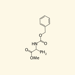 COC(=O)C(P)NC(=O)OCc1ccccc1